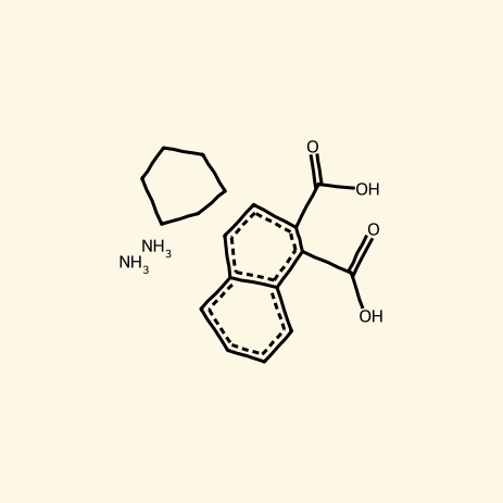 C1CCCCC1.N.N.O=C(O)c1ccc2ccccc2c1C(=O)O